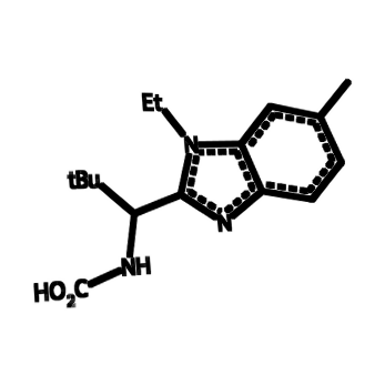 CCn1c(C(NC(=O)O)C(C)(C)C)nc2ccc(C)cc21